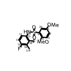 COc1ccc(OC)c(S(=O)(=O)Nc2ccc(F)c(I)c2F)c1